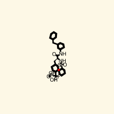 O=C(Nc1cccc(Cc2ccccc2)c1)[C@H](Cc1ccc(C(F)(F)P(=O)(O)O)cc1)NS(=O)(=O)c1ccccc1